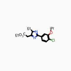 CCOC(=O)CC1=NC(c2ccc(Cl)c(OC(C)C)c2)=NC1CC